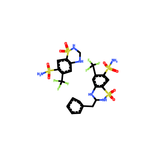 NS(=O)(=O)c1cc2c(cc1C(F)(F)F)NC(Cc1ccccc1)NS2(=O)=O.NS(=O)(=O)c1cc2c(cc1C(F)(F)F)NCNS2(=O)=O